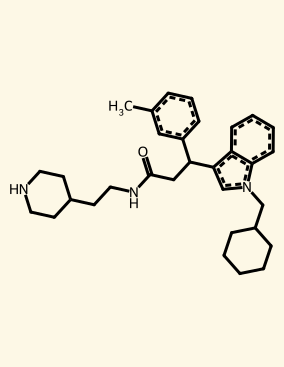 Cc1cccc(C(CC(=O)NCCC2CCNCC2)c2cn(CC3CCCCC3)c3ccccc23)c1